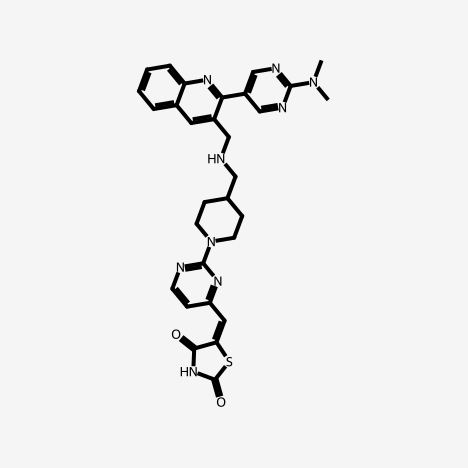 CN(C)c1ncc(-c2nc3ccccc3cc2CNCC2CCN(c3nccc(C=C4SC(=O)NC4=O)n3)CC2)cn1